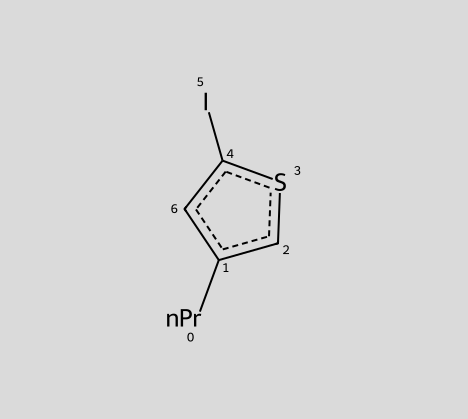 CCCc1csc(I)c1